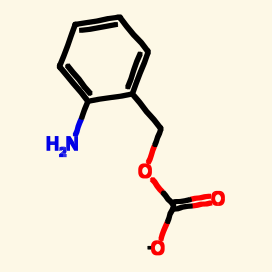 Nc1ccccc1COC([O])=O